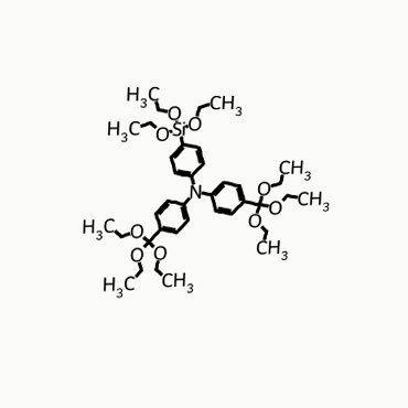 CCOC(OCC)(OCC)c1ccc(N(c2ccc(C(OCC)(OCC)OCC)cc2)c2ccc([Si](OCC)(OCC)OCC)cc2)cc1